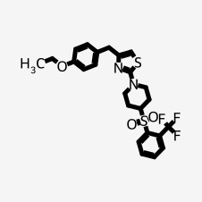 CCOc1ccc(Cc2csc(N3CCC(S(=O)(=O)c4ccccc4C(F)(F)F)CC3)n2)cc1